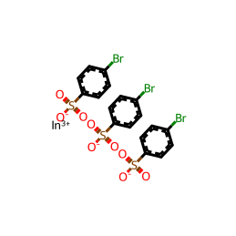 O=S(=O)([O-])c1ccc(Br)cc1.O=S(=O)([O-])c1ccc(Br)cc1.O=S(=O)([O-])c1ccc(Br)cc1.[In+3]